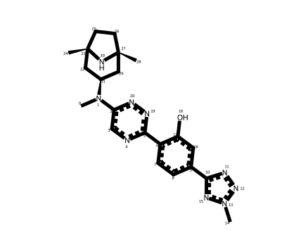 CN(c1cnc(-c2ccc(-c3nnn(C)n3)cc2O)nn1)[C@H]1C[C@]2(C)CC[C@](C)(C1)N2